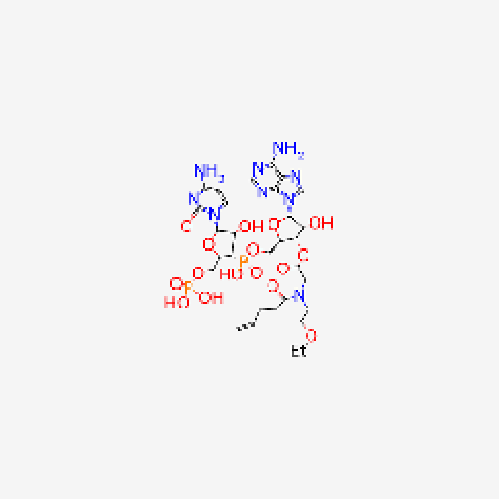 C=CCCC(=O)N(CCOCC)CC(=O)O[C@H]1[C@@H](O)[C@H](n2cnc3c(N)ncnc32)O[C@@H]1COP(=O)(O)[C@@H]1C(COP(=O)(O)O)O[C@@H](n2ccc(N)nc2=O)[C@@H]1O